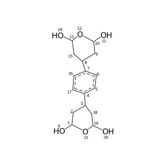 OC1CC(c2ccc(C3CC(O)OC(O)C3)cc2)CC(O)O1